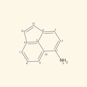 Nc1ccc2c3c(cccc13)C=C2